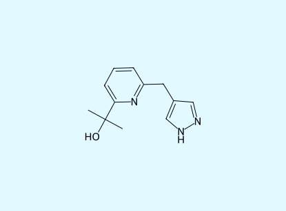 CC(C)(O)c1cccc(Cc2cn[nH]c2)n1